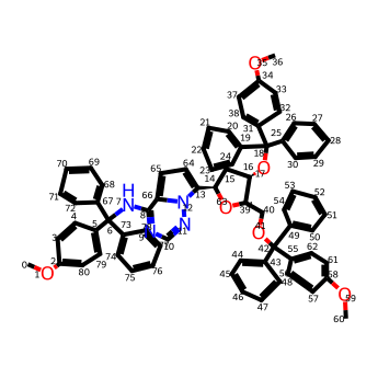 COc1ccc(C(Nc2ncnn3c([C@H]4C[C@H](OC(c5ccccc5)(c5ccccc5)c5ccc(OC)cc5)[C](COC(c5ccccc5)(c5ccccc5)c5ccc(OC)cc5)O4)ccc23)(c2ccccc2)c2ccccc2)cc1